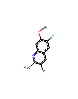 COc1nc2cc(OC(C)C)c(Cl)cc2cc1C(C)C